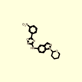 O=[N+]([O-])c1cccc(-c2nc(Nc3ccc4c(cnn4C4CCCCO4)c3)no2)c1